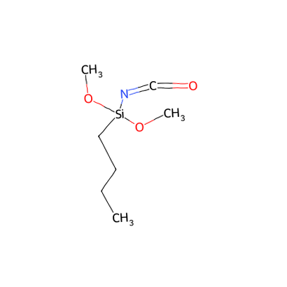 CCCC[Si](N=C=O)(OC)OC